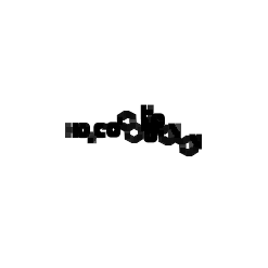 O=C(O)COc1cccc2c1CCCC2NS(=O)(=O)c1ccc(-c2cccnc2)nc1